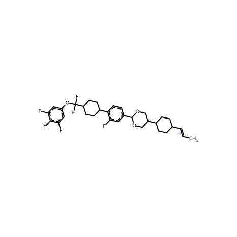 C/C=C/C1CCC(C2COC(c3ccc(C4CCC(C(F)(F)Oc5cc(F)c(F)c(F)c5)CC4)c(F)c3)OC2)CC1